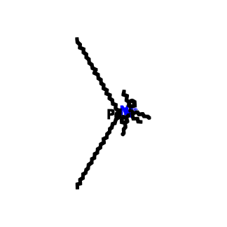 CCCCCCC1=C(c2cccc(CCCC)c2)[N+](=[N-])C(c2cccc(CCCC)c2)=C1CCCC.CCCCCCCCCCCCCCCCCCCCCCCCCCCC[CH2][Pd][CH2]CCCCCCCCCCCCCCCCCCCCCCCCCCCC